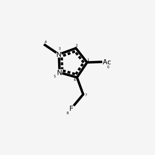 CC(=O)c1cn(C)nc1CF